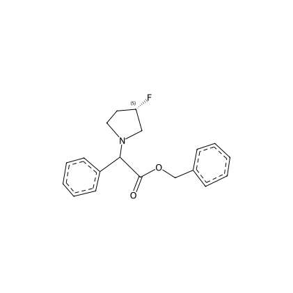 O=C(OCc1ccccc1)C(c1ccccc1)N1CC[C@H](F)C1